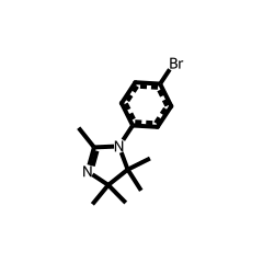 CC1=NC(C)(C)C(C)(C)N1c1ccc(Br)cc1